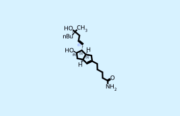 CCCC[C@](C)(O)C/C=C/[C@@H]1[C@H]2CC(CCCCC(N)=O)=C[C@H]2C[C@H]1O